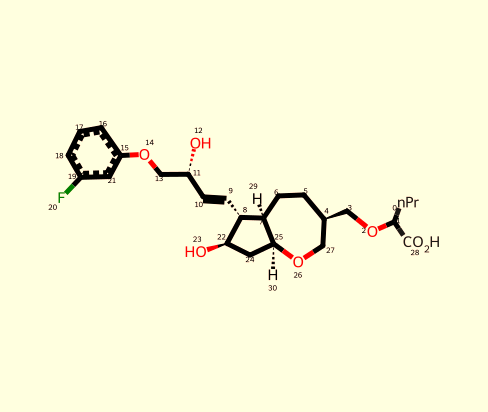 CCCC(OC[C@@H]1CC[C@@H]2[C@@H](C=C[C@@H](O)COc3cccc(F)c3)[C@H](O)C[C@@H]2OC1)C(=O)O